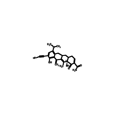 C=C1C2=C(C)[C@]3(S)C(=O)C(C(N)=O)=CCC3CC2Cc2c(N(C)C)cc(C#CCCC)c(O)c21